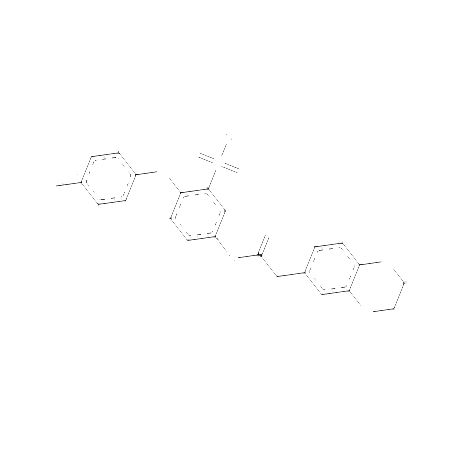 NS(=O)(=O)c1cc(NC(=O)Cc2ccc3c(c2)OCCO3)ccc1Oc1ccc(Cl)cc1